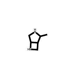 CC1NCC2NC[C]12